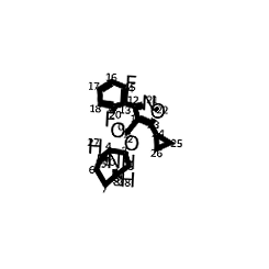 O=C(OC1C[C@H]2CC[C@@H](C1)N2)c1c(-c2c(F)cccc2F)noc1C1CC1